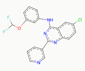 FC(F)Oc1cccc(Nc2nc(-c3cccnc3)nc3ccc(Cl)cc23)c1